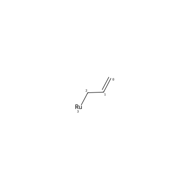 C=C[CH2][Ru]